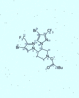 CC(C)(C)C(=O)ON1CCC(n2cc(Br)c(C(F)(F)F)n2)C(n2cc(Br)c(C(F)(F)F)n2)C1